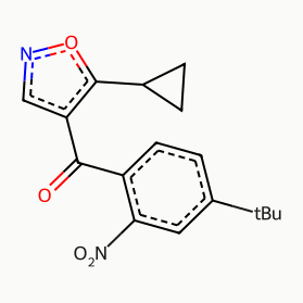 CC(C)(C)c1ccc(C(=O)c2cnoc2C2CC2)c([N+](=O)[O-])c1